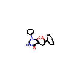 O=C1NCN(c2ccccc2)c2oc(-c3ccccc3)cc21